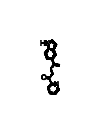 C=C(CCC(=O)c1ccccn1)c1ccc2[nH]ccc2c1